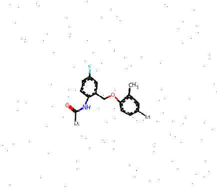 CCC(=O)Nc1ccc(F)cc1COc1ccc(CC)cc1C